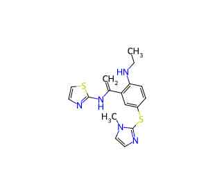 C=C(Nc1nccs1)c1cc(Sc2nccn2C)ccc1NCC